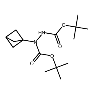 CC(C)(C)OC(=O)NN(C(=O)OC(C)(C)C)C12CC(C1)C2